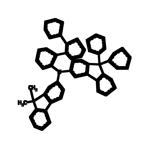 CC1(C)c2ccccc2-c2ccc(N(c3ccc4c(c3)-c3ccccc3C4(c3ccccc3)c3ccccc3)c3ccccc3-c3ccccc3-c3ccccc3)cc21